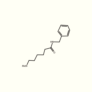 CNCCCCCC(=O)NCc1ccccc1